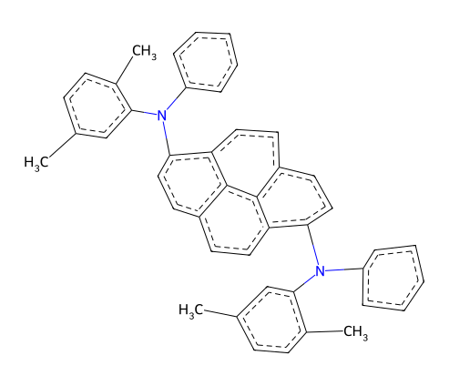 Cc1ccc(C)c(N(c2ccccc2)c2ccc3ccc4c(N(c5ccccc5)c5cc(C)ccc5C)ccc5ccc2c3c54)c1